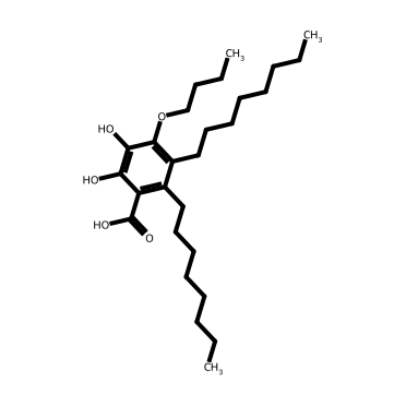 CCCCCCCCc1c(CCCCCCCC)c(C(=O)O)c(O)c(O)c1OCCCC